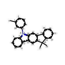 Cc1cccc(-n2c3ccccc3c3cc4c(cc32)-c2ccccc2C4(C)C)c1